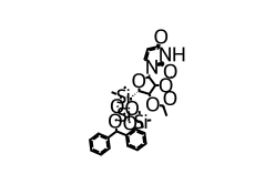 COC1C(OC(C)=O)[C@H](CO[Si](OC(c2ccccc2)c2ccccc2)(O[Si](C)(C)C)O[Si](C)(C)C)O[C@@H]1n1ccc(=O)[nH]c1=O